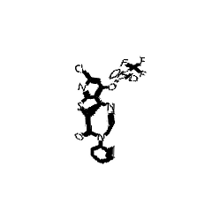 O=c1c2sc3nc(Cl)cc(OS(=O)(=O)C(F)(F)F)c3c2ncn1C1CCCCC1